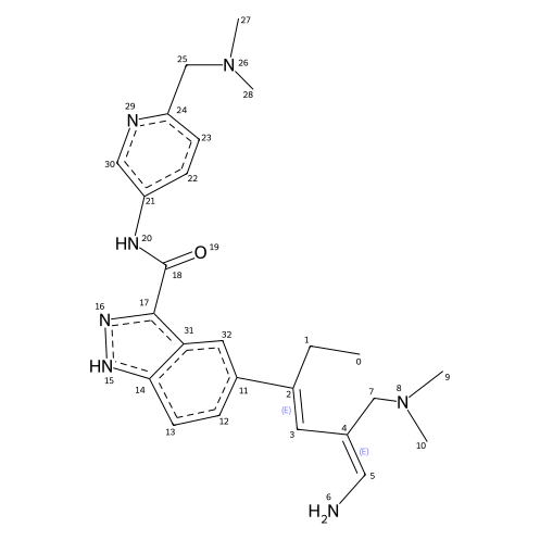 CC/C(=C\C(=C/N)CN(C)C)c1ccc2[nH]nc(C(=O)Nc3ccc(CN(C)C)nc3)c2c1